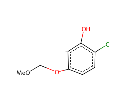 COCOc1[c]c(O)c(Cl)cc1